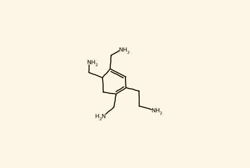 NCCC1=C(CN)CC(CN)C(CN)=C1